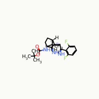 CC(C)(C)OC(=O)N[C@]12CC[C@H](/C(=C/C(=N)c3c(F)cccc3F)C1=N)C2(C)C